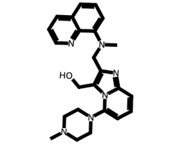 CN1CCN(c2cccc3nc(CN(C)c4cccc5cccnc45)c(CO)n23)CC1